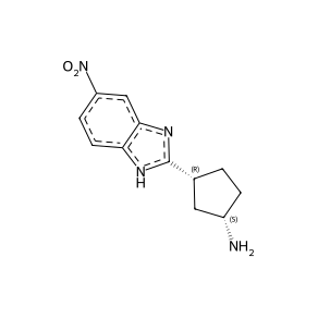 N[C@H]1CC[C@@H](c2nc3cc([N+](=O)[O-])ccc3[nH]2)C1